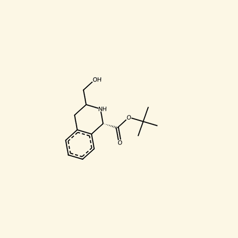 CC(C)(C)OC(=O)[C@H]1NC(CO)Cc2ccccc21